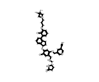 N#Cc1cncc(COc2cc(O[C@H]3CCc4c(-c5cccc(OCCCN6CC(F)(F)C6)c5Cl)cccc43)c(Cl)cc2CNC[C@@H]2CCC(=O)N2)c1